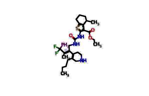 CCCCC1=C(/C(CNC(=O)Nc2sc3c(c2C(=O)OCC)C(C)CCC3)=C(\C)C(F)(F)P)CCNC1